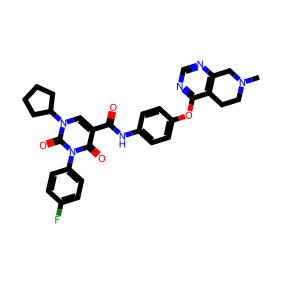 CN1CCc2c(ncnc2Oc2ccc(NC(=O)c3cn(C4CCCC4)c(=O)n(-c4ccc(F)cc4)c3=O)cc2)C1